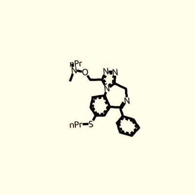 CCCSc1ccc2c(c1)C(c1ccccc1)=NCc1nnc(CON(C)CCC)n1-2